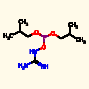 CC(C)COP(OCC(C)C)ONC(=N)N